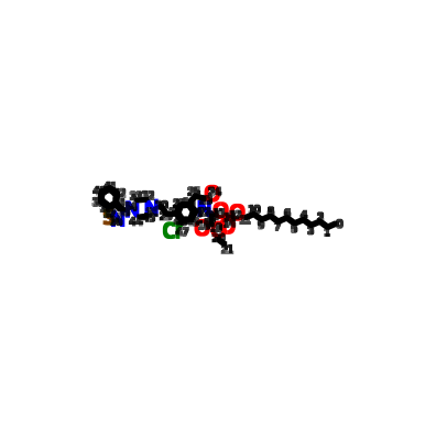 CCCCCCCCCCCCOC(=O)OC(C(=O)OCC)N1C(=O)Cc2cc(CCN3CCN(c4nsc5ccccc45)CC3)c(Cl)cc21